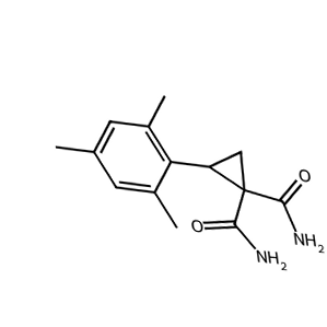 Cc1cc(C)c(C2CC2(C(N)=O)C(N)=O)c(C)c1